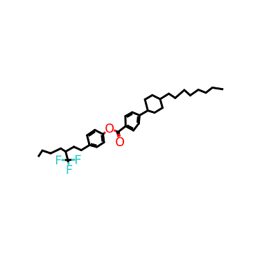 CCCCCCCCC1CCC(c2ccc(C(=O)Oc3ccc(CCC(CCCC)C(F)(F)F)cc3)cc2)CC1